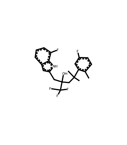 Cc1ccc(F)cc1C(C)(C)CC(O)(Cc1cc2cccc(F)c2[nH]1)C(F)(F)F